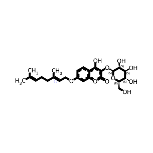 CC(C)=CCC/C(C)=C/COc1ccc2c(O)c(O[C@@H]3O[C@H](CO)[C@@H](O)[C@H](O)[C@@H]3O)c(=O)oc2c1